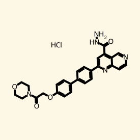 Cl.NNC(=O)c1cc(-c2ccc(-c3ccc(OCC(=O)N4CCOCC4)cc3)cc2)nc2ccncc12